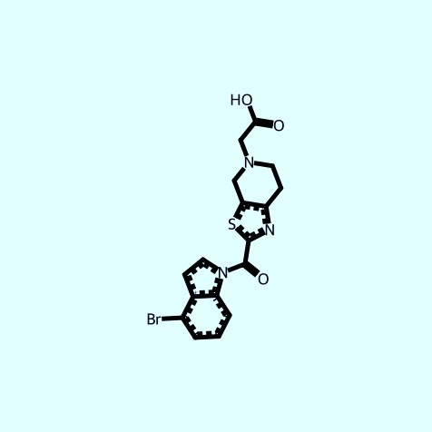 O=C(O)CN1CCc2nc(C(=O)n3ccc4c(Br)cccc43)sc2C1